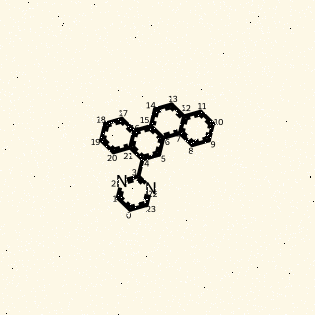 c1cnc(-c2cc3c4ccccc4ccc3c3ccccc23)nc1